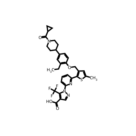 CCc1cc(C2CCN(C(=O)C3CC3)CC2)ccc1OCc1cc(C)sc1-c1cccc(-n2ncc(C(=O)O)c2C(F)(F)F)n1